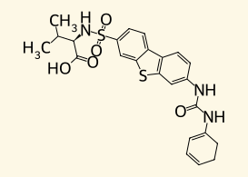 CC(C)[C@@H](NS(=O)(=O)c1ccc2c(c1)sc1cc(NC(=O)NC3=CC=CCC3)ccc12)C(=O)O